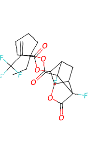 C=C(C(=O)OC1C2OC(=O)C3(F)C2CC1C3(F)C(=O)OC1(CC)CCCC1)C(F)(F)F